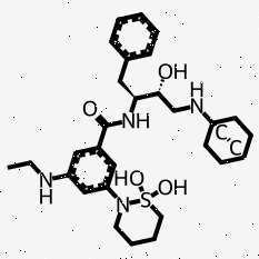 CCNc1cc(C(=O)N[C@@H](Cc2ccccc2)[C@H](O)CNC23CCC(CC2)CC3)cc(N2CCCCS2(O)O)c1